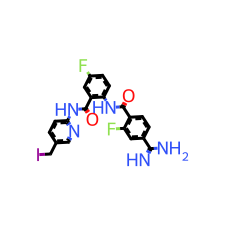 N=C(N)c1ccc(C(=O)Nc2ccc(F)cc2C(=O)Nc2ccc(CI)cn2)c(F)c1